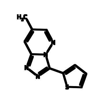 Cc1cnn2c(-c3cccs3)nnc2c1